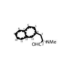 CN[C@H](C=O)Cc1ccc2ccccc2c1